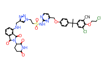 CC(C)(c1ccc(OCc2ccnc(NS(=O)(=O)CCn3cc(CNc4cccc5c4C(=O)N(C4CCC(=O)NC4=O)C5=O)nn3)n2)cc1)c1cc(Cl)c(OCCCl)c(C#N)c1